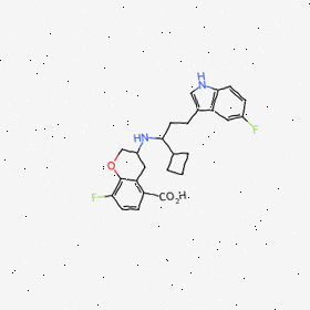 O=C(O)c1ccc(F)c2c1CC(NC(CCc1c[nH]c3ccc(F)cc13)C1CCC1)CO2